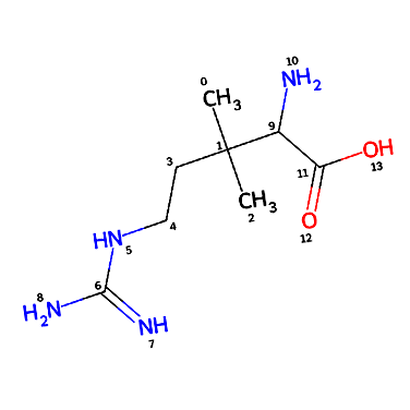 CC(C)(CCNC(=N)N)C(N)C(=O)O